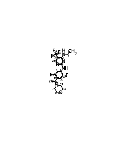 CCNc1nc(Nc2cc(F)c(C(=O)N3CCOCC3)cc2F)ncc1C(F)(F)F